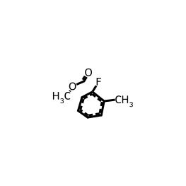 COC=O.Cc1ccccc1F